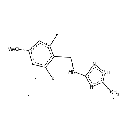 COc1cc(F)c(CNc2n[nH]c(N)n2)c(F)c1